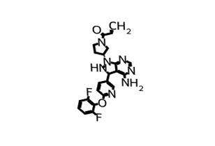 C=CC(=O)N1CC[C@@H](N2NC(c3ccc(Oc4c(F)cccc4F)nc3)c3c(N)ncnc32)C1